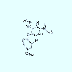 COc1ccc(OC2=CNC(NN)NC2NN=N)c(C(C)C)c1